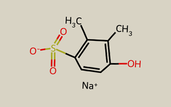 Cc1c(O)ccc(S(=O)(=O)[O-])c1C.[Na+]